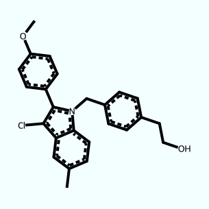 COc1ccc(-c2c(Cl)c3cc(C)ccc3n2Cc2ccc(CCO)cc2)cc1